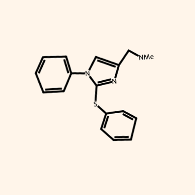 CNCc1cn(-c2ccccc2)c(Sc2ccccc2)n1